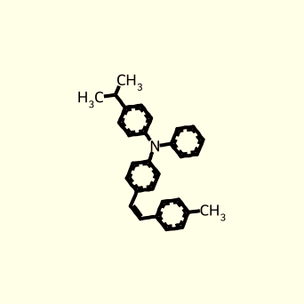 Cc1ccc(/C=C\c2ccc(N(c3ccccc3)c3ccc(C(C)C)cc3)cc2)cc1